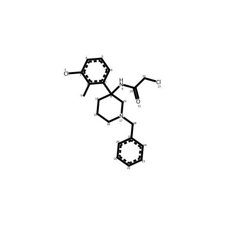 Cc1c(Cl)cccc1C1(NC(=O)CCl)CCCN(Cc2ccccc2)C1